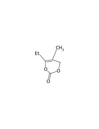 CCC1=C(C)COC(=O)O1